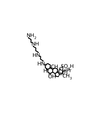 CC(C)[C@H](OS(=O)(=O)O)[C@@H](C)[C@H]1CCC2C3C(CC[C@@]21C)[C@@]1(C)CC[C@H](NCCCNCCCCNCCCN)C[C@@H]1C[C@H]3O